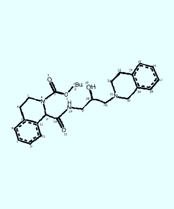 CC(C)(C)OC(=O)N1CCc2ccccc2C1C(=O)NCC(O)CN1CCc2ccccc2C1